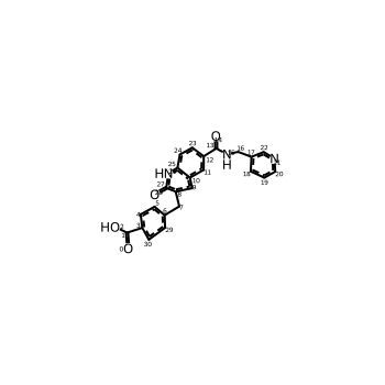 O=C(O)c1ccc(Cc2cc3cc(C(=O)NCc4cccnc4)ccc3[nH]c2=O)cc1